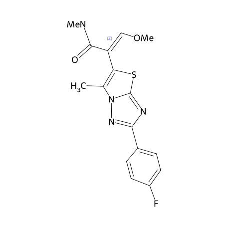 CNC(=O)/C(=C/OC)c1sc2nc(-c3ccc(F)cc3)nn2c1C